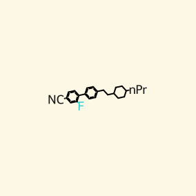 CCCC1CCC(CCc2ccc(-c3ccc(C#N)cc3F)cc2)CC1